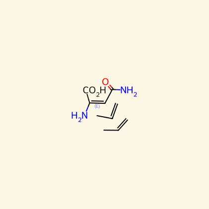 C=CC.C=CC.NC(=O)/C=C(/N)C(=O)O